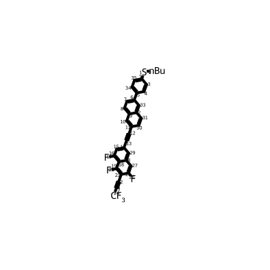 CCCCSc1ccc(-c2ccc3cc(C#Cc4cc(F)c5c(F)c(C#CC(F)(F)F)c(F)cc5c4)ccc3c2)cc1